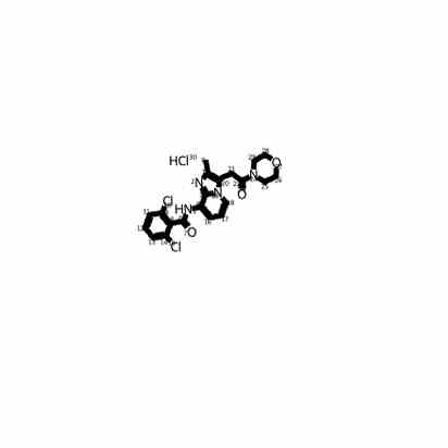 Cc1nc2c(NC(=O)c3c(Cl)cccc3Cl)cccn2c1CC(=O)N1CCOCC1.Cl